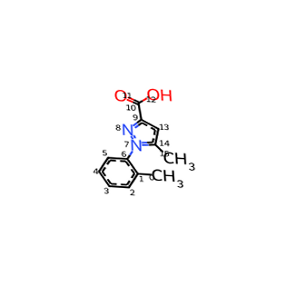 Cc1ccccc1-n1nc(C(=O)O)cc1C